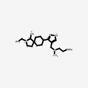 CNCCN(C)Cc1c[nH]nc1C1CCC2(CC1)CCN(CC(C)C)C2O